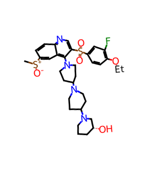 CCOc1ccc(S(=O)(=O)c2cnc3ccc([S+](C)[O-])cc3c2N2CCC(N3CCC(N4CCC[C@@H](O)C4)CC3)CC2)cc1F